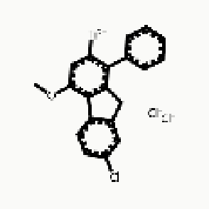 COc1c[c]([Ti+2])c(-c2ccccc2)c2c1-c1ccc(Cl)cc1C2.[Cl-].[Cl-]